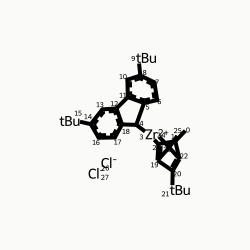 CC1[C]([Zr+2][CH]2c3ccc(C(C)(C)C)cc3-c3cc(C(C)(C)C)ccc32)=C2C(C(C)(C)C)=C1C2(C)C.[Cl-].[Cl-]